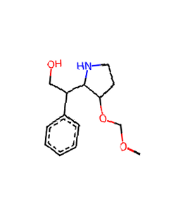 COCOC1CCNC1C(CO)c1ccccc1